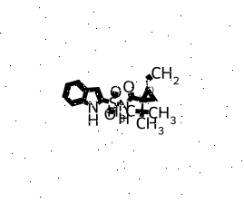 C=C[C@@H]1C[C@@]1(C(=O)NS(=O)(=O)c1cc2ccccc2[nH]1)C(C)(C)C